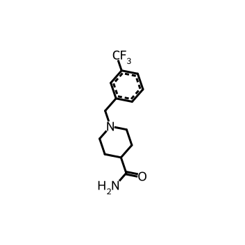 NC(=O)C1CCN(Cc2cccc(C(F)(F)F)c2)CC1